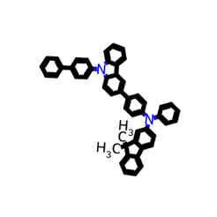 CC1(C)c2ccccc2-c2ccc(N(c3ccccc3)c3ccc(C4=CC5c6ccccc6N(c6ccc(-c7ccccc7)cc6)C5C=C4)cc3)cc21